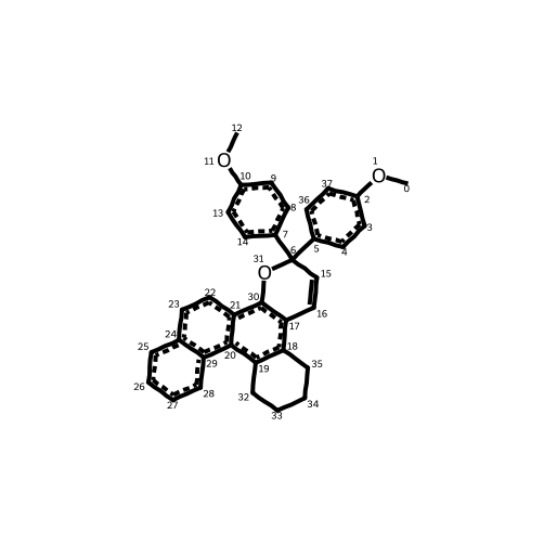 COc1ccc(C2(c3ccc(OC)cc3)C=Cc3c4c(c5c(ccc6ccccc65)c3O2)CCCC4)cc1